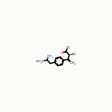 C=C(c1ccc(CC(N)C(=O)O)cc1)[C@H](CC)C(=O)CC